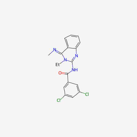 CCn1c(NC(=O)c2cc(Cl)cc(Cl)c2)nc2ccccc2/c1=N/C